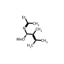 CC/C(C)=N/[C@H](OC)C(C)=C(C)C